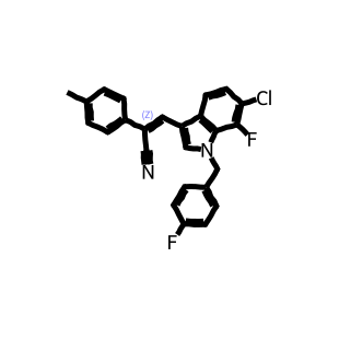 Cc1ccc(/C(C#N)=C/c2cn(Cc3ccc(F)cc3)c3c(F)c(Cl)ccc23)cc1